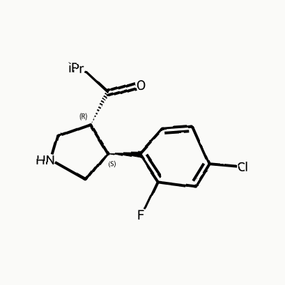 CC(C)C(=O)[C@H]1CNC[C@@H]1c1ccc(Cl)cc1F